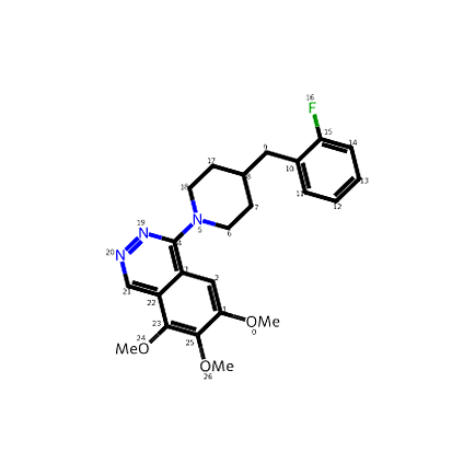 COc1cc2c(N3CCC(Cc4ccccc4F)CC3)nncc2c(OC)c1OC